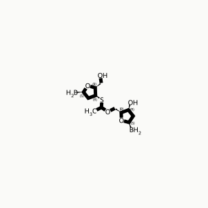 B[C@H]1C[C@@H](O)[C@@H](COC(C)S[C@@H]2C[C@H](B)O[C@@H]2CO)O1